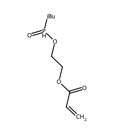 C=CC(=O)OCCO[PH](=O)C(C)CC